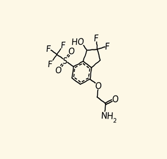 NC(=O)COc1ccc(S(=O)(=O)C(F)(F)F)c2c1CC(F)(F)C2O